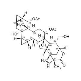 CC(=O)O[C@H]1C[C@H]2[C@@H]([C@@H]3C[C@@H]3[C@@]3(O)C[C@@H]4C[C@@H]4[C@H](OC(C)=O)[C@]23C)[C@@H]2C[C@@H]3[C@H]([C@H](CO)[C@H]4C[C@]3(C)[C@@](C)(O)C(=O)O4)[C@@]12C